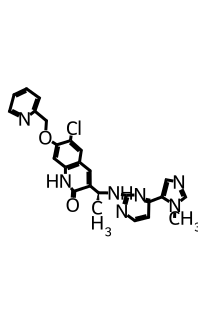 C[C@H](Nc1nccc(-c2cncn2C)n1)c1cc2cc(Cl)c(OCc3ccccn3)cc2[nH]c1=O